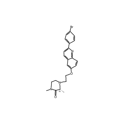 C[C@@H]1C(=O)N(C)CCN1CCOc1ccc2nc(-c3ccc(Br)cc3)ccc2c1